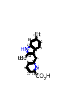 CCc1ccc2c(Cc3cccc(C(=O)O)n3)c(C(C)(C)C)[nH]c2c1